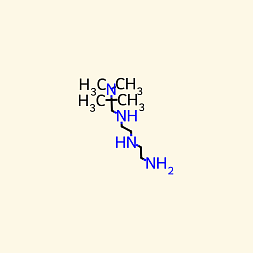 CN(C)C(C)(C)CNCCNCCN